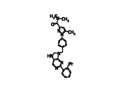 Cc1cc(C(=O)N(C)C)nn1-c1ccc(CN2CNc3cnc(-c4ccccc4C(C)C)nc32)cc1